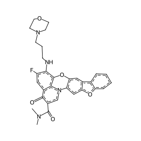 CN(C)C(=O)c1cn2c3c(c(NCCCN4CCOCC4)c(F)cc3c1=O)Oc1cc3c(cc1-2)oc1ccccc13